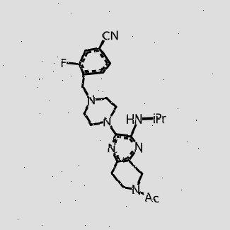 CC(=O)N1CCc2nc(N3CCN(Cc4ccc(C#N)cc4F)CC3)c(NC(C)C)nc2C1